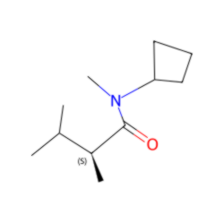 CC(C)[C@H](C)C(=O)N(C)C1CCC1